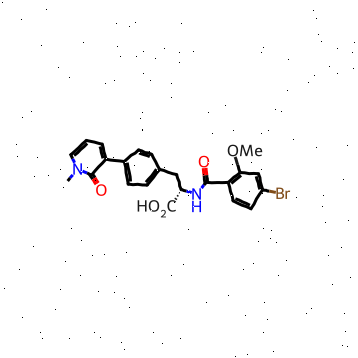 COc1cc(Br)ccc1C(=O)N[C@@H](Cc1ccc(-c2cccn(C)c2=O)cc1)C(=O)O